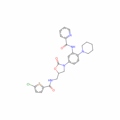 O=C(Nc1cc(N2CC(CNC(=O)c3ccc(Cl)s3)OC2=O)ccc1N1CCCCC1)c1ccccn1